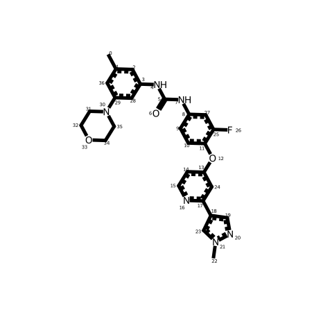 Cc1cc(NC(=O)Nc2ccc(Oc3ccnc(-c4cnn(C)c4)c3)c(F)c2)cc(N2CCOCC2)c1